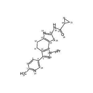 Cc1ccc(-c2nn(C(C)C)c3c2CCc2nc(NC(=O)C4CC4)sc2-3)cn1